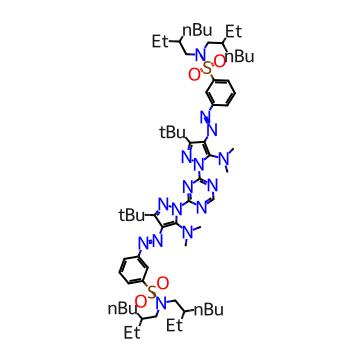 CCCCC(CC)CN(CC(CC)CCCC)S(=O)(=O)c1cccc(/N=N/c2c(C(C)(C)C)nn(-c3ncnc(-n4nc(C(C)(C)C)c(/N=N/c5cccc(S(=O)(=O)N(CC(CC)CCCC)CC(CC)CCCC)c5)c4N(C)C)n3)c2N(C)C)c1